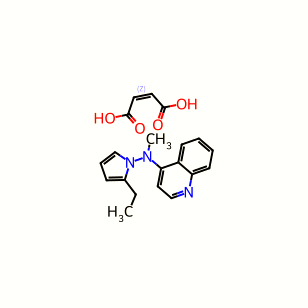 CCc1cccn1N(C)c1ccnc2ccccc12.O=C(O)/C=C\C(=O)O